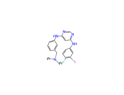 CC(C)N(Cc1cccc(Nc2cc(Nc3ccc(F)c(I)c3)ncn2)c1)C(C)C